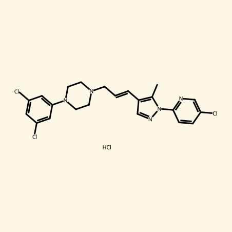 Cc1c(C=CCN2CCN(c3cc(Cl)cc(Cl)c3)CC2)cnn1-c1ccc(Cl)cn1.Cl